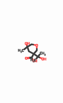 CC1(O)COCC(C(=O)O)(C(C)(C)O)C1